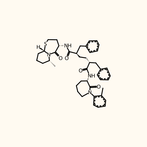 Cc1ccccc1N1CCCC[C@H](NC(=O)[C@H](CC[C@H](Cc2ccccc2)C(=O)N[C@H]2CCS[C@H]3CCC[C@@H](C)N3C2=O)Cc2ccccc2)C1=O